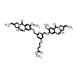 C/C=C1\C[C@H]2C=Nc3cc(OCc4cc(OCCCC(=O)OC)cc(COc5cc6c(cc5OC)C(=O)N5C/C(=C/C)C[C@H]5C=N6)n4)c(OC)cc3C(=O)N2C1